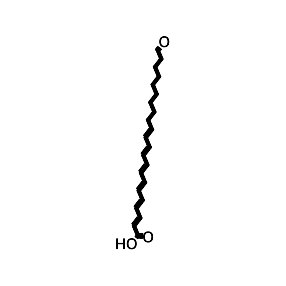 O=CCCCCCCCCC=CC=CC=CC=CC=CC=CC(=O)O